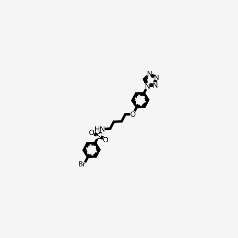 O=S(=O)(NCCCCOc1ccc(-n2cnnn2)cc1)c1ccc(Br)cc1